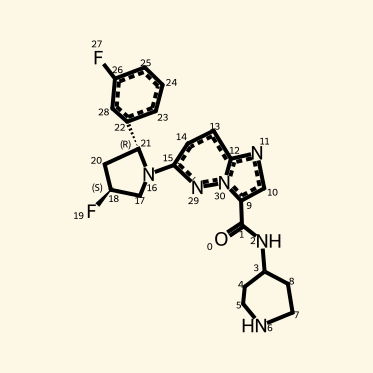 O=C(NC1CCNCC1)c1cnc2ccc(N3C[C@@H](F)C[C@@H]3c3cccc(F)c3)nn12